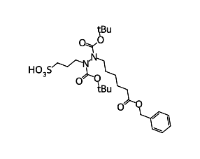 CC(C)(C)OC(=O)N(CCCCCC(=O)OCc1ccccc1)N(CCCS(=O)(=O)O)C(=O)OC(C)(C)C